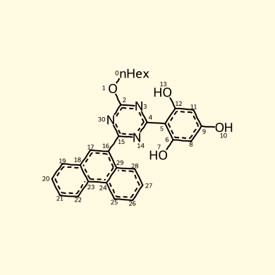 CCCCCCOc1nc(-c2c(O)cc(O)cc2O)nc(-c2cc3ccccc3c3ccccc23)n1